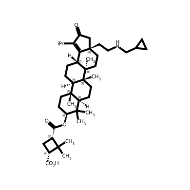 CC(C)C1=C2[C@H]3CC[C@@H]4[C@@]5(C)CC[C@H](OC(=O)[C@H]6C[C@@H](C(=O)O)C6(C)C)C(C)(C)[C@@H]5CC[C@@]4(C)[C@]3(C)CC[C@@]2(CCNCC2CC2)CC1=O